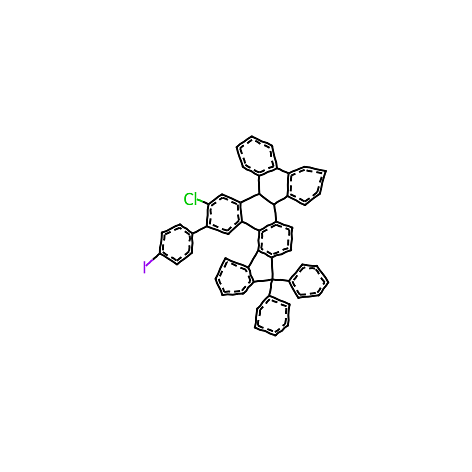 Clc1cc2c(cc1-c1ccc(I)cc1)-c1c(ccc3c1-c1ccccc1C3(c1ccccc1)c1ccccc1)C1c3ccccc3-c3ccccc3C21